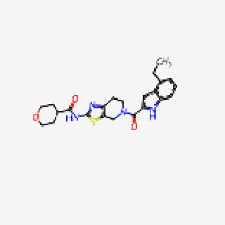 CCc1cccc2[nH]c(C(=O)N3CCc4nc(NC(=O)C5CCOCC5)sc4C3)cc12